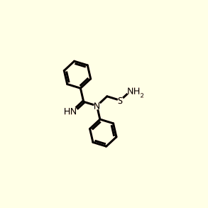 N=C(c1ccccc1)N(CSN)c1ccccc1